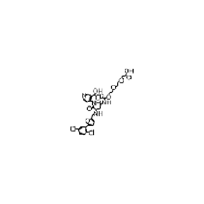 O=C(O)COCCOCCOC(=O)NCCC(NCc1ccc(-c2cc(Cl)ccc2Cl)o1)C(=O)Nc1ccncc1C(=O)O